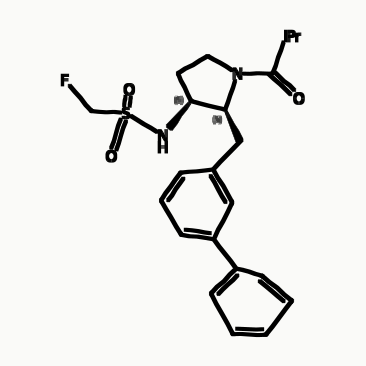 CC(C)C(=O)N1CC[C@H](NS(=O)(=O)CF)[C@@H]1Cc1cccc(-c2ccccc2)c1